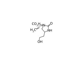 C=CC(=O)O.O=C1NCC(CCO)N1